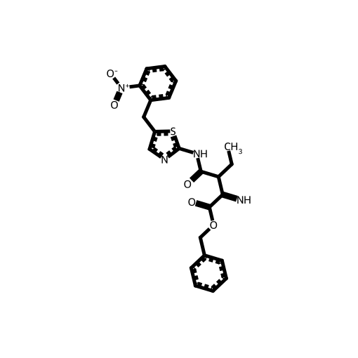 CCC(C(=N)C(=O)OCc1ccccc1)C(=O)Nc1ncc(Cc2ccccc2[N+](=O)[O-])s1